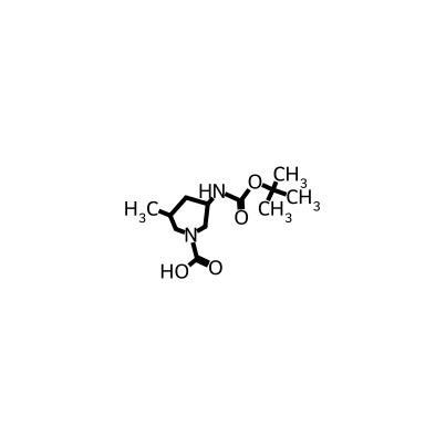 CC1CC(NC(=O)OC(C)(C)C)CN(C(=O)O)C1